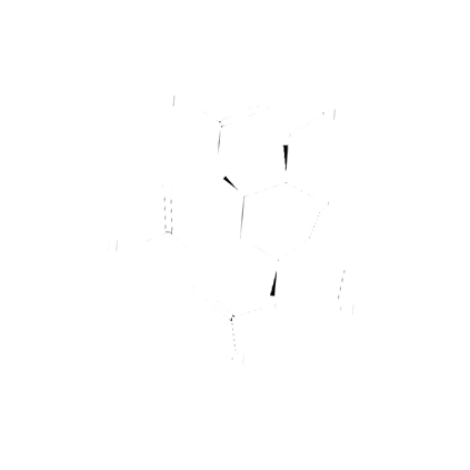 CO[C@H]1O[C@H]([CH]O)[C@@H](OC(C)=O)[C@H](OC(C)=O)[C@H]1OC(C)=O